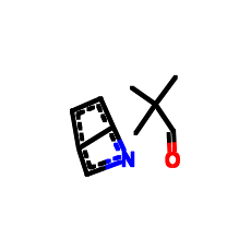 CC(C)(C)C=O.c1cc2ncc1-2